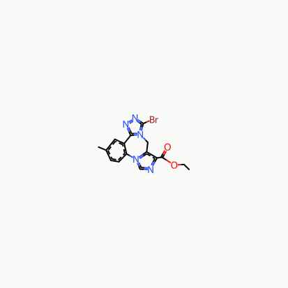 CCOC(=O)c1ncn2c1Cn1c(Br)nnc1-c1cc(C)ccc1-2